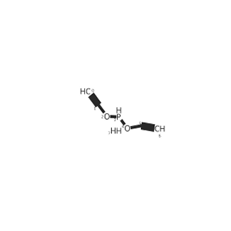 C#COPOC#C.[HH]